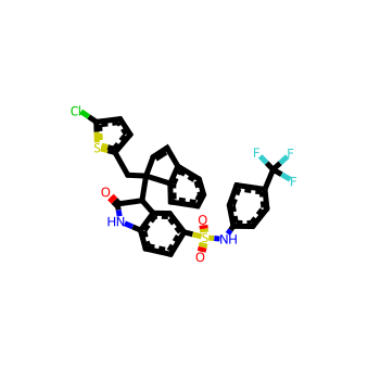 O=C1Nc2ccc(S(=O)(=O)Nc3ccc(C(F)(F)F)cc3)cc2C1C1(Cc2ccc(Cl)s2)C=Cc2ccccc21